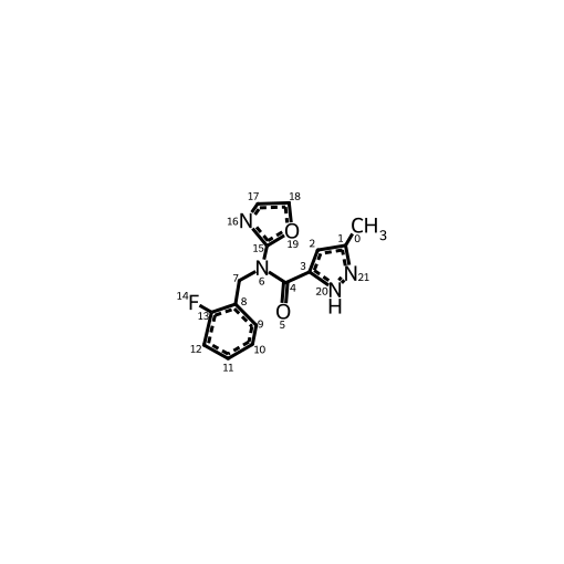 Cc1cc(C(=O)N(Cc2ccccc2F)c2ncco2)[nH]n1